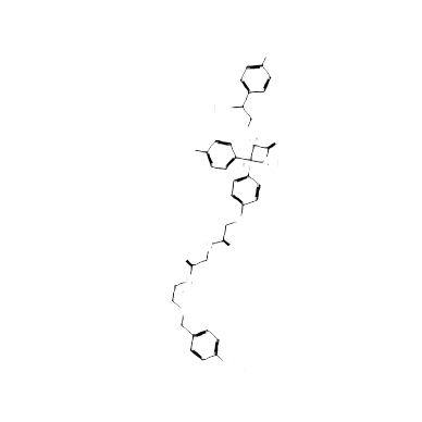 Cc1ccc(CSC[C@@H](NC(=O)CNC(=O)COc2ccc([C@]3(c4ccc(F)cc4)NC(=O)[C@@H]3SCC(O)c3ccc(F)cc3)cc2)C(=O)O)cc1